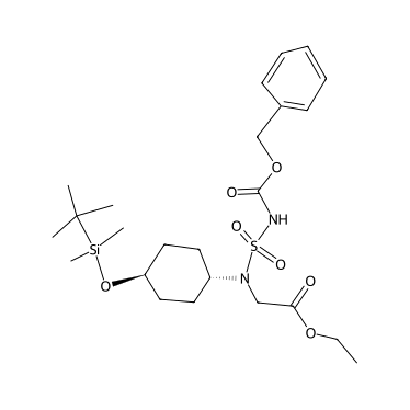 CCOC(=O)CN([C@H]1CC[C@H](O[Si](C)(C)C(C)(C)C)CC1)S(=O)(=O)NC(=O)OCc1ccccc1